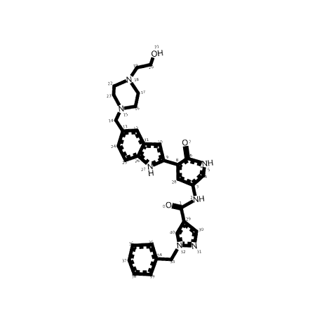 O=C(Nc1c[nH]c(=O)c(-c2cc3cc(CN4CCN(CCO)CC4)ccc3[nH]2)c1)c1cnn(Cc2ccccc2)c1